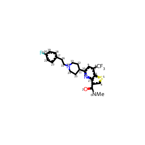 CNC(=O)c1csc2c(C(F)(F)F)cc(C3CCN(CCc4ccc(F)cc4)CC3)nc12